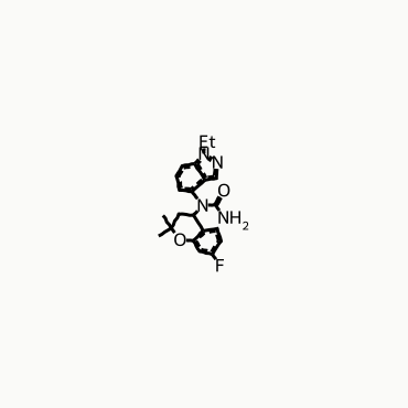 CCn1ncc2c(N(C(N)=O)C3CC(C)(C)Oc4cc(F)ccc43)cccc21